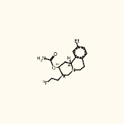 CCc1ccc2c(c1)[C@H]1C[C@@H](OC(N)=O)[C@H](CC[18F])CN1CC2